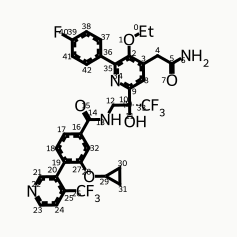 CCOc1c(CC(N)=O)cc([C@@](O)(CNC(=O)c2ccc(-c3cnccc3C(F)(F)F)c(OC3CC3)c2)C(F)(F)F)nc1-c1ccc(F)cc1